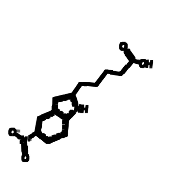 O=C(O)CCCCc1cc2cc([N+](=O)[O-])ccc2[nH]1